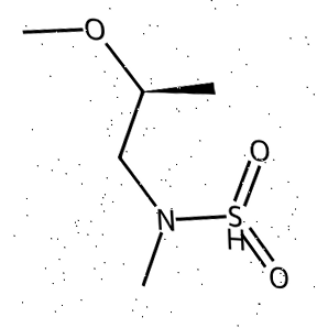 CO[C@@H](C)CN(C)[SH](=O)=O